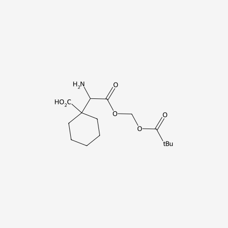 CC(C)(C)C(=O)OCOC(=O)C(N)C1(C(=O)O)CCCCC1